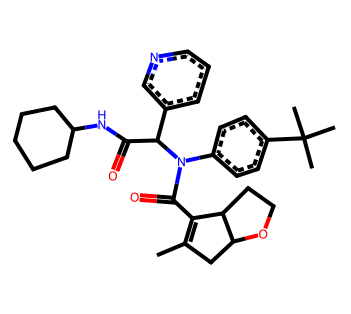 CC1=C(C(=O)N(c2ccc(C(C)(C)C)cc2)C(C(=O)NC2CCCCC2)c2cccnc2)C2CCOC2C1